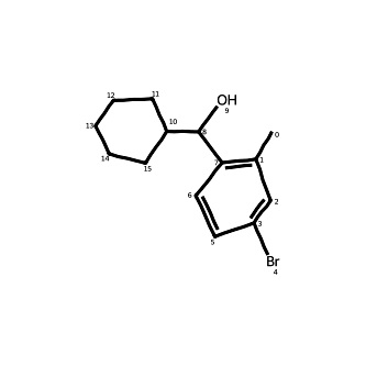 Cc1cc(Br)ccc1C(O)C1CCCCC1